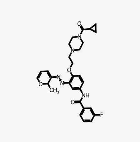 CC1OC=CC=C1N=Nc1cc(NC(=O)c2cccc(F)c2)ccc1OCCN1CCN(C(=O)C2CC2)CC1